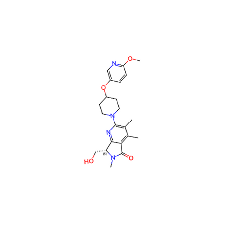 COc1ccc(OC2CCN(c3nc4c(c(C)c3C)C(=O)N(C)[C@@H]4CO)CC2)cn1